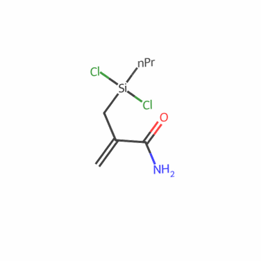 C=C(C[Si](Cl)(Cl)CCC)C(N)=O